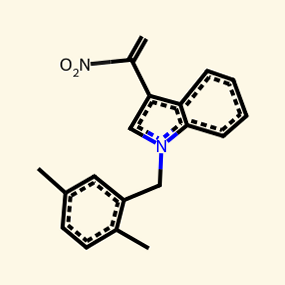 C=C(c1cn(Cc2cc(C)ccc2C)c2ccccc12)[N+](=O)[O-]